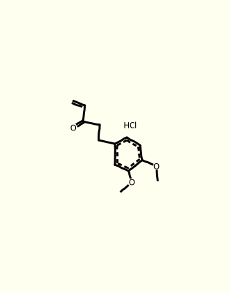 C=CC(=O)CCc1ccc(OC)c(OC)c1.Cl